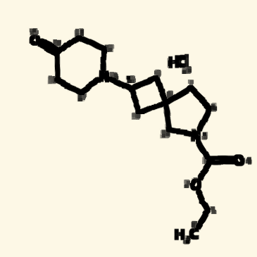 CCOC(=O)N1CCC2(CC(N3CCC(=O)CC3)C2)C1.Cl